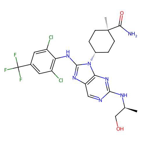 C[C@@H](CO)Nc1ncc2nc(Nc3c(Cl)cc(C(F)(F)F)cc3Cl)n([C@H]3CC[C@](C)(C(N)=O)CC3)c2n1